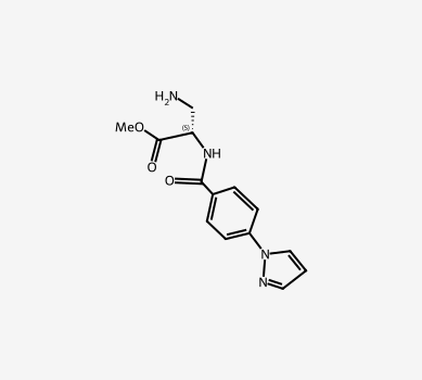 COC(=O)[C@H](CN)NC(=O)c1ccc(-n2cccn2)cc1